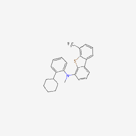 CN(c1ccccc1C1CCCCC1)c1cccc2c1sc1c(C(F)(F)F)cccc12